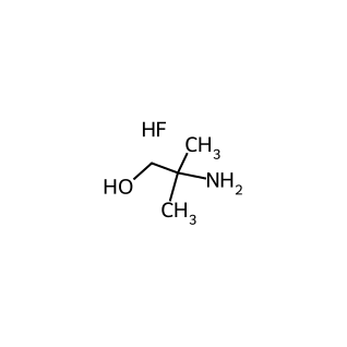 CC(C)(N)CO.F